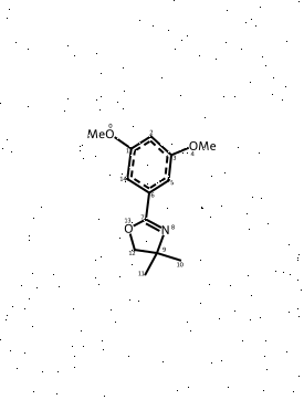 COc1cc(OC)cc(C2=NC(C)(C)CO2)c1